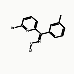 CCO/N=C(/c1cccc(C)c1)c1cccc(Br)n1